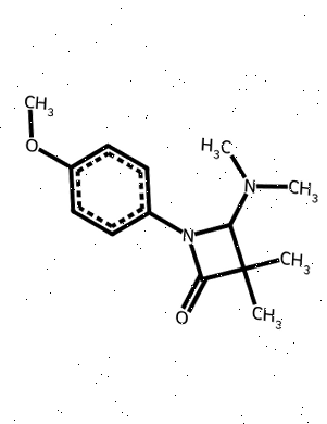 COc1ccc(N2C(=O)C(C)(C)C2N(C)C)cc1